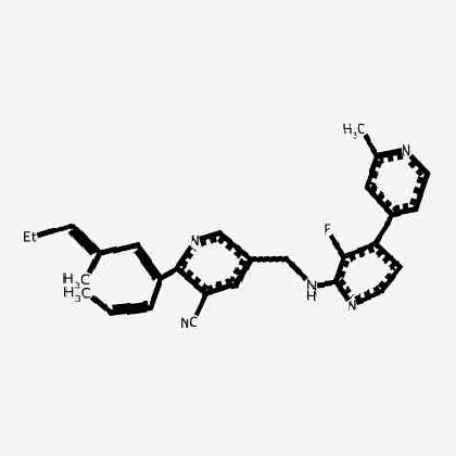 C\C=C/C(=C\C(C)=C\CC)c1ncc(CNc2nccc(-c3ccnc(C)c3)c2F)cc1C#N